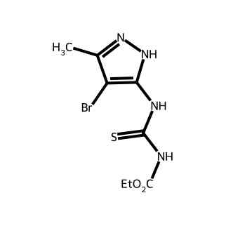 CCOC(=O)NC(=S)Nc1[nH]nc(C)c1Br